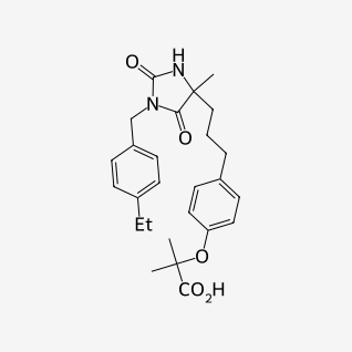 CCc1ccc(CN2C(=O)NC(C)(CCCc3ccc(OC(C)(C)C(=O)O)cc3)C2=O)cc1